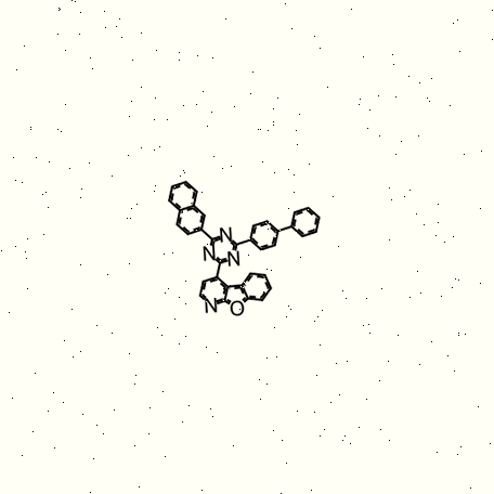 c1ccc(-c2ccc(-c3nc(-c4ccc5ccccc5c4)nc(-c4ccnc5oc6ccccc6c45)n3)cc2)cc1